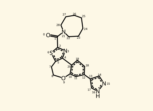 O=C(c1nc2c(s1)CCOc1cc(-c3cn[nH]c3)ccc1-2)N1CCCCCCC1